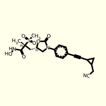 C[C@@](C[C@H]1CN(c2ccc(C#CC3CC3CC#N)cc2)C(=O)O1)(C(=O)NO)S(C)(=O)=O